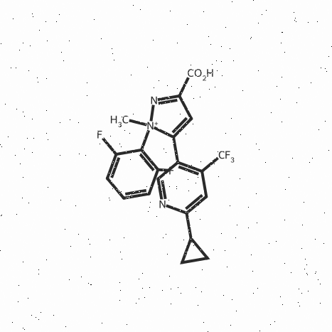 C[N+]1(c2c(F)cccc2F)N=C(C(=O)O)C=C1c1cnc(C2CC2)cc1C(F)(F)F